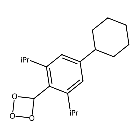 CC(C)c1cc(C2CCCCC2)cc(C(C)C)c1C1OOO1